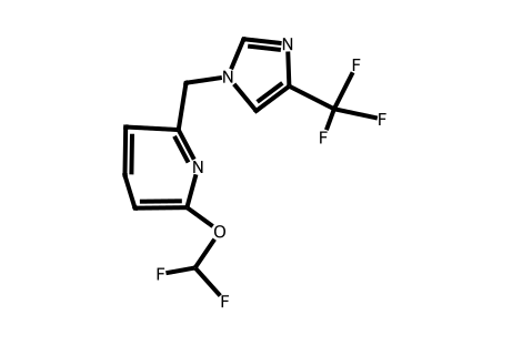 FC(F)Oc1cccc(Cn2cnc(C(F)(F)F)c2)n1